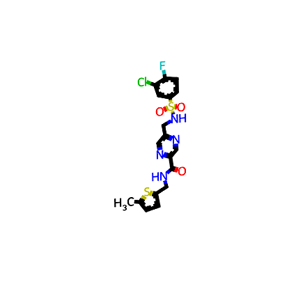 Cc1ccc(CNC(=O)c2cnc(CNS(=O)(=O)c3ccc(F)c(Cl)c3)cn2)s1